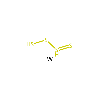 S=[SH]SS.[W]